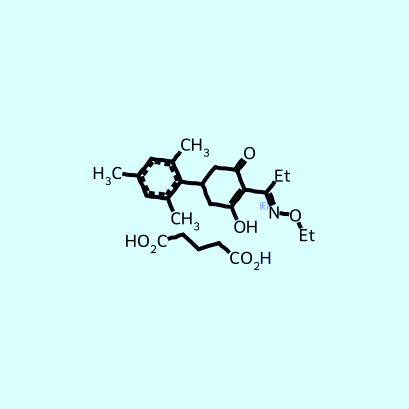 CCO/N=C(\CC)C1=C(O)CC(c2c(C)cc(C)cc2C)CC1=O.O=C(O)CCCC(=O)O